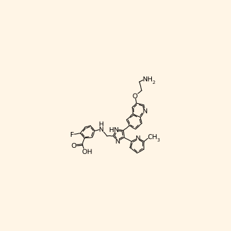 Cc1cccc(-c2nc(CNc3ccc(F)c(C(=O)O)c3)[nH]c2-c2ccc3ncc(OCCN)cc3c2)n1